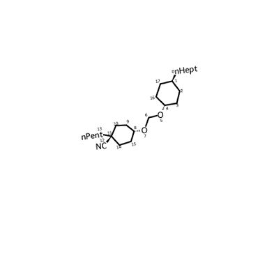 CCCCCCC[C@H]1CC[C@H](OCO[C@H]2CC[C@@](C#N)(CCCCC)CC2)CC1